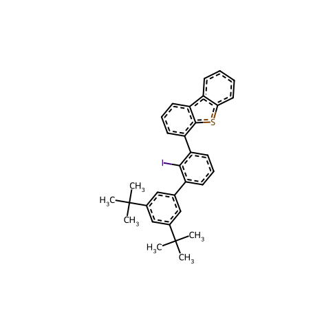 CC(C)(C)c1cc(-c2cccc(-c3cccc4c3sc3ccccc34)c2I)cc(C(C)(C)C)c1